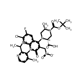 Cc1ccnc(C(C)C)c1-n1c(=O)c(C[N+](=O)[O-])c(N2C[C@@H](C)N(C(=O)OC(C)(C)C)C[C@@H]2C(=O)O)c2cc(F)c(Cl)nc21